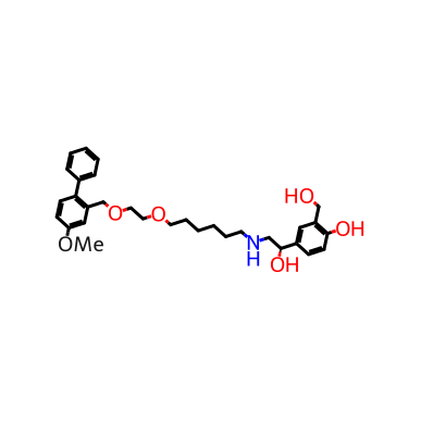 COc1ccc(-c2ccccc2)c(COCCOCCCCCCNC[C@H](O)c2ccc(O)c(CO)c2)c1